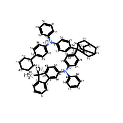 CC1(C)c2ccccc2-c2cc(N(c3ccccc3)c3ccc(C4(c5ccc(N(c6ccccc6)c6ccc(C7CCCCC7)cc6)cc5)C5CC6CC(C5)CC4C6)cc3)ccc21